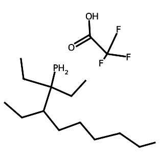 CCCCCCC(CC)C(P)(CC)CC.O=C(O)C(F)(F)F